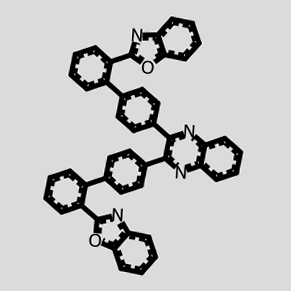 c1ccc(-c2nc3ccccc3o2)c(-c2ccc(-c3nc4ccccc4nc3-c3ccc(-c4ccccc4-c4nc5ccccc5o4)cc3)cc2)c1